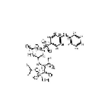 CC(C)OP(=O)(O)C(=O)N(CC(CNS(=O)(=O)c1ccc(Oc2ccccc2)cc1)NC(=O)O)C(C)C